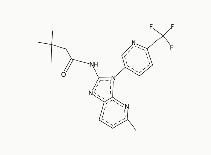 Cc1ccc2nc(NC(=O)CC(C)(C)C)n(-c3ccc(C(F)(F)F)nc3)c2n1